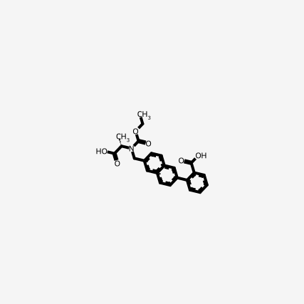 CCOC(=O)N(Cc1ccc2cc(-c3ccccc3C(=O)O)ccc2c1)[C@@H](C)C(=O)O